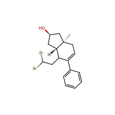 C[C@]12CC=C(c3ccccc3)C(CC(Br)Br)[C@@H]1C[C@@H](O)C2